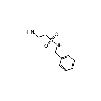 [NH]CCS(=O)(=O)NCc1ccccc1